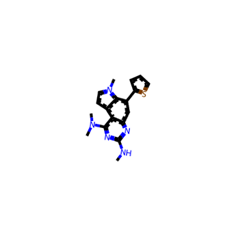 CNc1nc(N(C)C)c2c(cc(-c3cccs3)c3c2ccn3C)n1